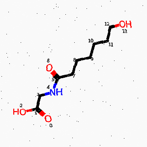 O=C(O)CNC(=O)CCCCCCO